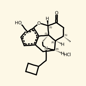 C[C@H]1CC(=O)[C@H]2Oc3c(O)ccc4c3[C@@]23CCN(CC2CCC2)[C@H](C4)[C@H]13.Cl